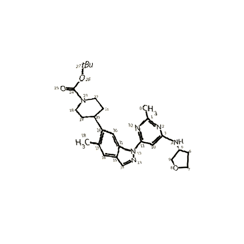 Cc1nc(N[C@@H]2CCOC2)cc(-n2ncc3cc(C)c(C4CCN(C(=O)OC(C)(C)C)CC4)cc32)n1